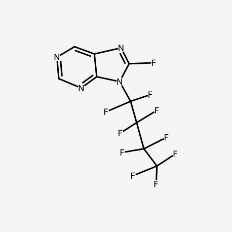 Fc1nc2cncnc2n1C(F)(F)C(F)(F)C(F)(F)C(F)(F)F